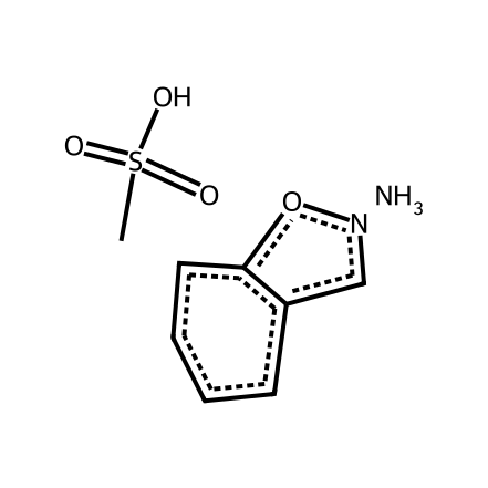 CS(=O)(=O)O.N.c1ccc2oncc2c1